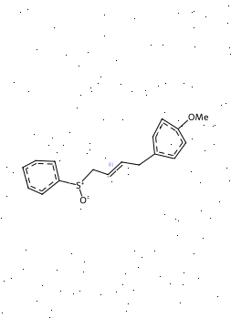 COc1ccc(C/C=[C]/C[S+]([O-])c2ccccc2)cc1